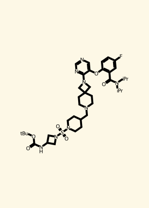 CC(C)N(C(=O)c1cc(F)ccc1Oc1cncnc1N1CC2(CCN(CC3CCN(S(=O)(=O)N4CC(NC(=O)OC(C)(C)C)C4)CC3)CC2)C1)C(C)C